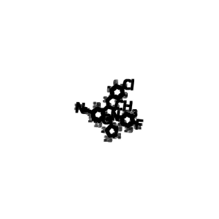 CC(C(Cc1ccc(Cl)cc1)c1cccc(C#N)c1)N(C(=O)C1CCCC1)c1ccc(F)cc1